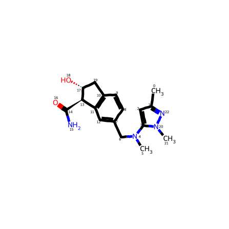 Cc1cc(N(C)Cc2ccc3c(c2)[C@@H](C(N)=O)[C@H](O)C3)n(C)n1